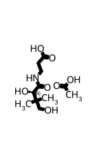 CC(=O)O.CC(C)(CO)[C@@H](O)C(=O)NCCC(=O)O